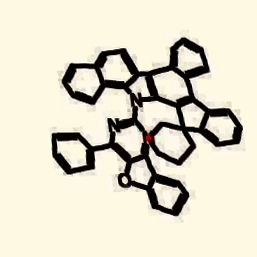 c1ccc(-c2nc(-n3c4c5c(c6ccccc6c4c4ccc6ccccc6c43)-c3ccccc3C53CCCCC3)nc3c2oc2ccccc23)cc1